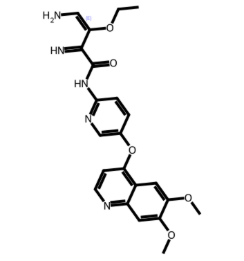 CCO/C(=C/N)C(=N)C(=O)Nc1ccc(Oc2ccnc3cc(OC)c(OC)cc23)cn1